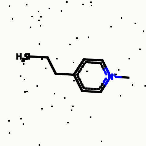 C[n+]1ccc(CC[SiH3])cc1